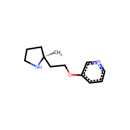 C[C@@]1(CCOc2cccnc2)CCCN1